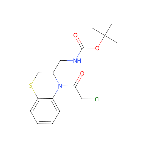 CC(C)(C)OC(=O)NCC1CSc2ccccc2N1C(=O)CCl